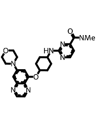 CNC(=O)c1ccnc(NC2CCC(Oc3cc(N4CCOCC4)cc4nccnc34)CC2)n1